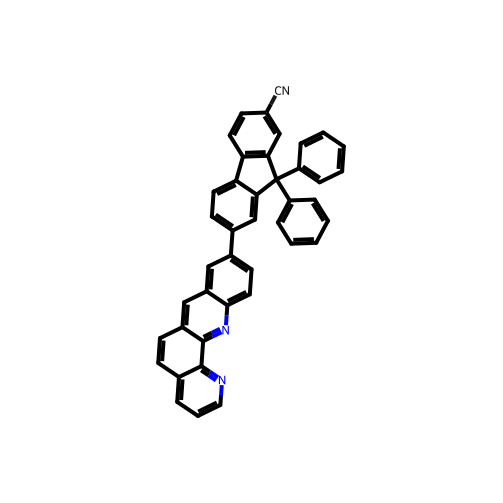 N#Cc1ccc2c(c1)C(c1ccccc1)(c1ccccc1)c1cc(-c3ccc4nc5c(ccc6cccnc65)cc4c3)ccc1-2